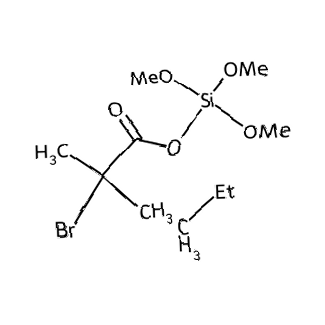 CCC.CO[Si](OC)(OC)OC(=O)C(C)(C)Br